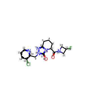 O=C(C1CCCc2nn(Cc3ncccc3Cl)c(=O)n21)N1CC(F)C1